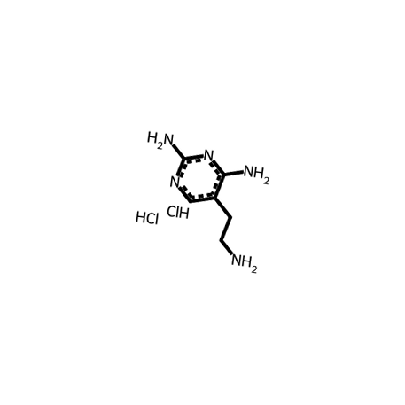 Cl.Cl.NCCc1cnc(N)nc1N